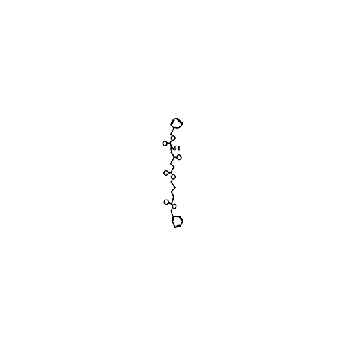 O=C(CCC(=O)OCCCCC(=O)OCc1ccccc1)CNC(=O)OCc1ccccc1